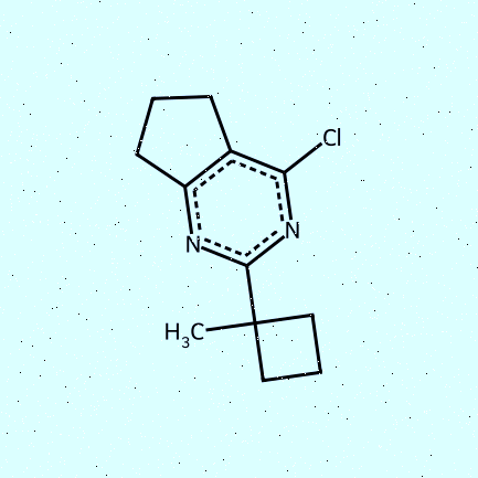 CC1(c2nc(Cl)c3c(n2)CCC3)CCC1